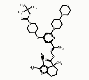 CC(C)(C)OC(=O)N1CCC(Oc2cc(/C(N)=N/OC(=O)C3(C)CCCc4sc(N)c(C#N)c43)nc(N3CCC(N4CCOCC4)CC3)c2)CC1